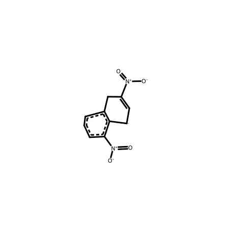 O=[N+]([O-])C1=C[CH]c2c(cccc2[N+](=O)[O-])C1